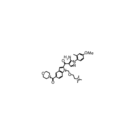 COc1ccc(-n2ncc(C(=O)c3cc4cc(C(=O)N5CCOCC5)ccc4n3COCC[Si](C)(C)C)c2N)c(C)c1